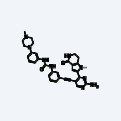 CN1CCN(c2cccc(NC(=O)Nc3cccc(C#Cc4cnc(N)nc4-c4cc5c(n4C)CCNC5=O)c3)c2)CC1